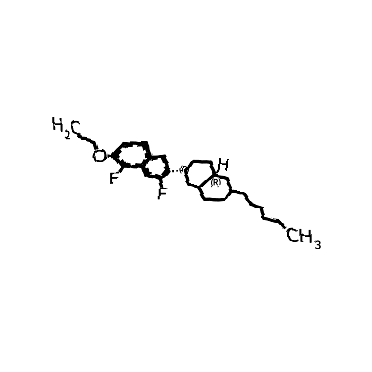 C=CCOc1ccc2cc([C@@H]3CC[C@@H]4CC(CCCCCC)CCC4C3)c(F)cc2c1F